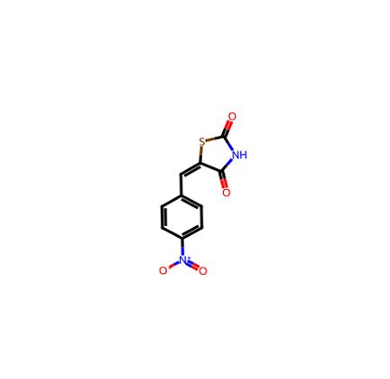 O=C1NC(=O)/C(=C\c2ccc([N+](=O)[O-])cc2)S1